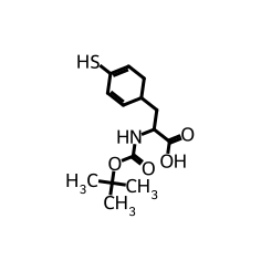 CC(C)(C)OC(=O)NC(CC1C=CC(S)=CC1)C(=O)O